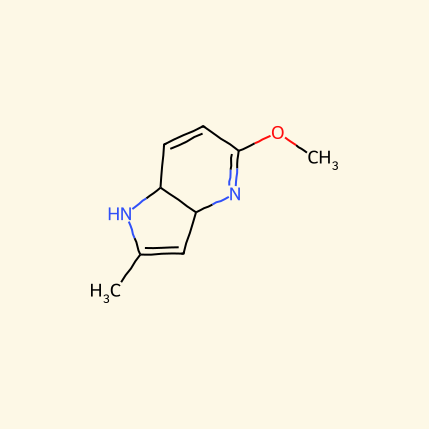 COC1=NC2C=C(C)NC2C=C1